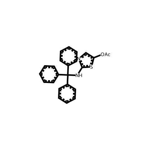 CC(=O)Oc1cnc(NC(c2ccccc2)(c2ccccc2)c2ccccc2)s1